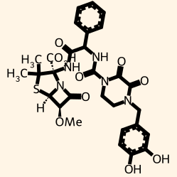 CO[C@@H]1C(=O)N2[C@@H]1SC(C)(C)[C@]2(NC(=O)C(NC(=O)N1CCN(Cc2ccc(O)c(O)c2)C(=O)C1=O)c1ccccc1)C(=O)O